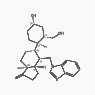 C=C1CC[C@H]2[C@H](Cn3cnc4ccccc43)[C@@H]([C@@]3(C)CC[C@H](O)C[C@@H]3CO)CC[C@]12C